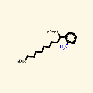 CCCCCCCCCCCCCCCCCCC(CCCCC)c1ccccc1N